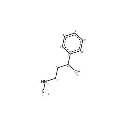 NNCCC(O)c1ccccc1